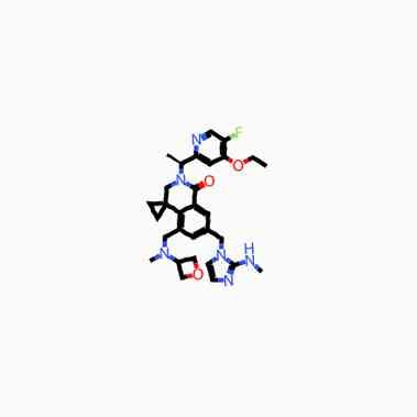 CCOc1cc([C@H](C)N2CC3(CC3)c3c(CN(C)C4COC4)cc(Cn4ccnc4NC)cc3C2=O)ncc1F